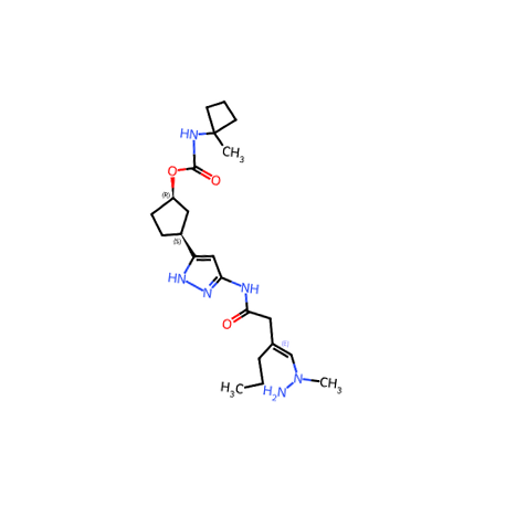 CCC/C(=C\N(C)N)CC(=O)Nc1cc([C@H]2CC[C@@H](OC(=O)NC3(C)CCC3)C2)[nH]n1